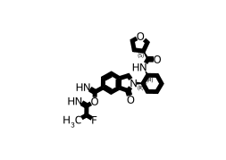 CC(F)C(=N)OC(=N)c1ccc2c(c1)C(=O)N([C@@H]1CCCC[C@H]1NC(=O)[C@H]1CCOC1)C2